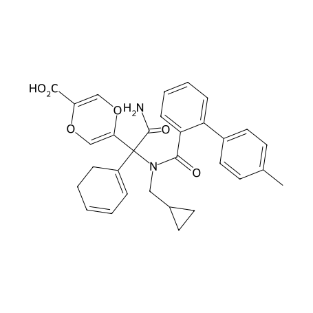 Cc1ccc(-c2ccccc2C(=O)N(CC2CC2)C(C(N)=O)(C2=CC=CCC2)C2=COC(C(=O)O)=CO2)cc1